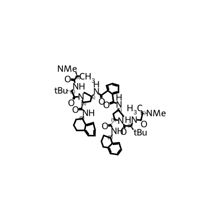 CN[C@@H](C)C(=O)N[C@H](C(=O)N1C[C@@H](NC(=O)c2ccccc2C(=O)N[C@H]2C[C@@H](C(=O)N[C@@H]3CCCc4ccccc43)N(C(=O)[C@@H](NC(=O)[C@H](C)NC)C(C)(C)C)C2)C[C@H]1C(=O)N[C@@H]1CCCc2ccccc21)C(C)(C)C